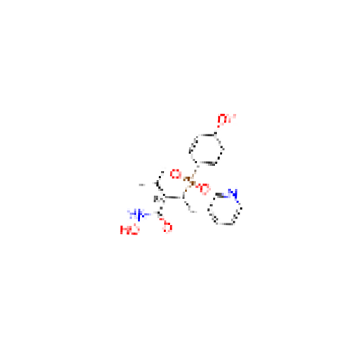 CC(C)[C@H](C(=O)NO)C(Cc1cccnc1)S(=O)(=O)C1=CCC(O)C=C1